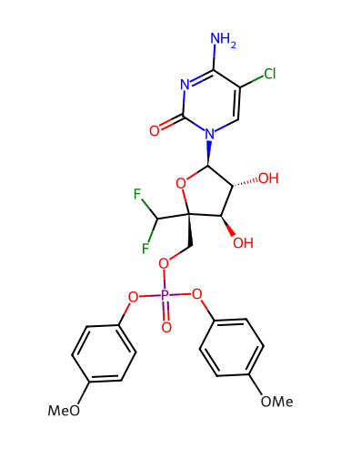 COc1ccc(OP(=O)(OC[C@@]2(C(F)F)O[C@@H](n3cc(Cl)c(N)nc3=O)[C@H](O)[C@H]2O)Oc2ccc(OC)cc2)cc1